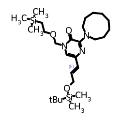 CC(C)(C)[Si](C)(C)OC/C=C/c1cn(COCC[Si](C)(C)C)c(=O)c(N2CCCCCCCC2)n1